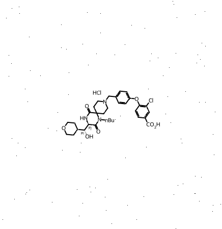 CCCCN1C(=O)[C@@H]([C@H](O)C2CCOCC2)NC(=O)C12CCN(Cc1ccc(Oc3ccc(C(=O)O)cc3Cl)cc1)CC2.Cl